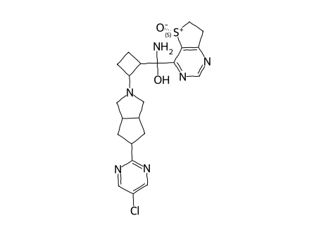 NC(O)(c1ncnc2c1[S@+]([O-])CC2)C1CCC1N1CC2CC(c3ncc(Cl)cn3)CC2C1